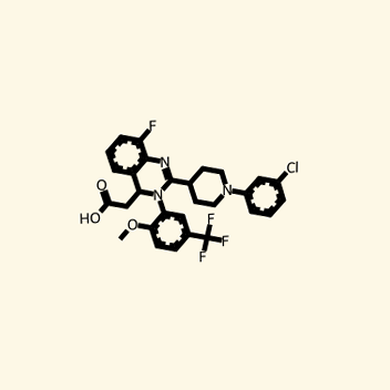 COc1ccc(C(F)(F)F)cc1N1C(C2CCN(c3cccc(Cl)c3)CC2)=Nc2c(F)cccc2C1CC(=O)O